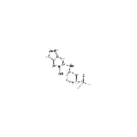 Oc1nc2nonc2cc1Nc1cccc(C(F)(F)F)c1